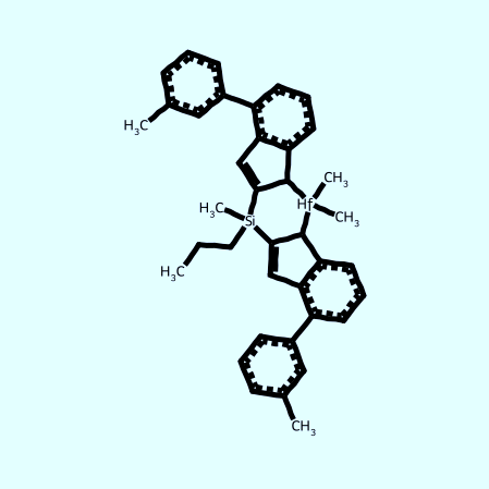 CCC[Si]1(C)C2=Cc3c(-c4cccc(C)c4)cccc3[CH]2[Hf]([CH3])([CH3])[CH]2C1=Cc1c(-c3cccc(C)c3)cccc12